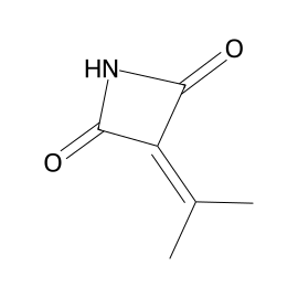 CC(C)=C1C(=O)NC1=O